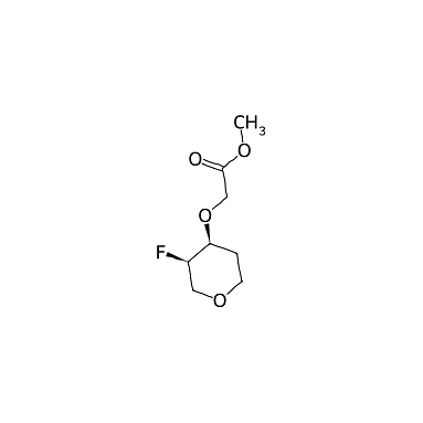 COC(=O)CO[C@H]1CCOC[C@H]1F